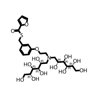 O=C(SCc1cccc(OCCN(C[C@@H](O)[C@@H](O)[C@H](O)[C@H](O)CO)C[C@@H](O)[C@@H](O)[C@H](O)[C@H](O)CO)c1)c1ccco1